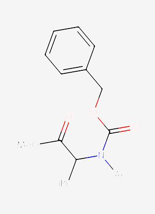 COC(=O)C(C(C)C)N(C(C)=O)C(=O)OCc1ccccc1